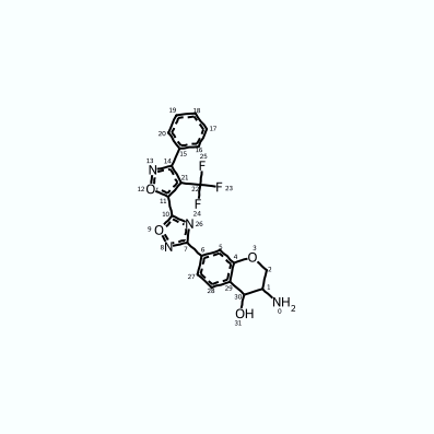 NC1COc2cc(-c3noc(-c4onc(-c5ccccc5)c4C(F)(F)F)n3)ccc2C1O